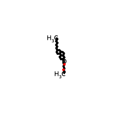 CCCCCCCOC1CCC2C(CCC3CC(CCCCCCC)CCC32)C1